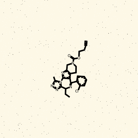 C#CCCOC(=O)N1CCc2c(sc3c2C(c2ccccc2Cl)=NC(CC)c2nnc(C)n2-3)C1